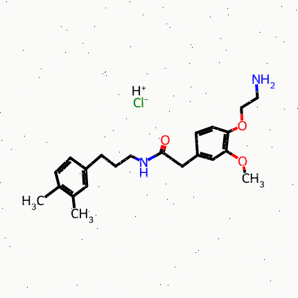 COc1cc(CC(=O)NCCCc2ccc(C)c(C)c2)ccc1OCCN.[Cl-].[H+]